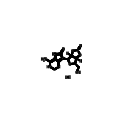 Cl.NC1=c2[nH]c(=O)n([C@@H]3O[C@H](CO)[C@H]4OS(=O)O[C@H]43)c2=NCN1